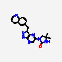 CC1(C)CN(c2cnc3c(n2)C(Cc2ccc4ncccc4c2)N=N3)C(=O)N1